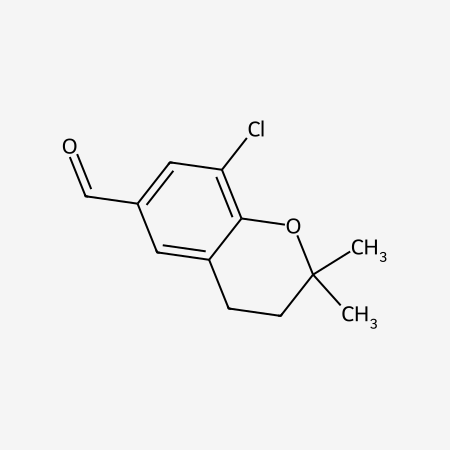 CC1(C)CCc2cc(C=O)cc(Cl)c2O1